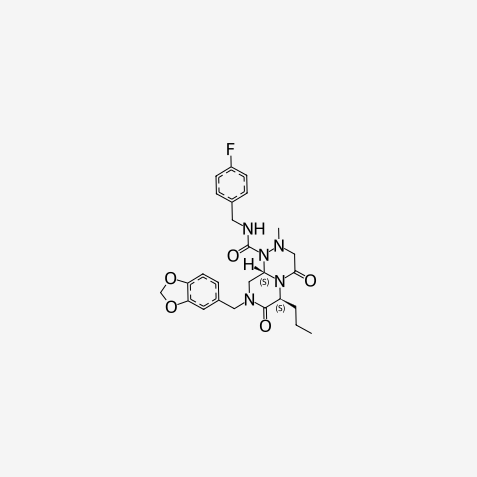 CCC[C@H]1C(=O)N(Cc2ccc3c(c2)OCO3)C[C@H]2N1C(=O)CN(C)N2C(=O)NCc1ccc(F)cc1